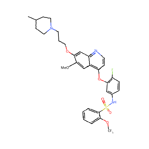 COc1cc2c(Oc3cc(NS(=O)(=O)c4ccccc4OC(F)(F)F)ccc3F)ccnc2cc1OCCCN1CCC(C)CC1